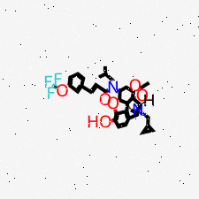 CC(=O)O[C@@]12CCC(N(CC(C)C)C(=O)/C=C/c3cccc(OC(F)(F)F)c3)C3Oc4c(O)ccc5c4[C@@]31CCN(CC1CC1)[C@@H]2C5